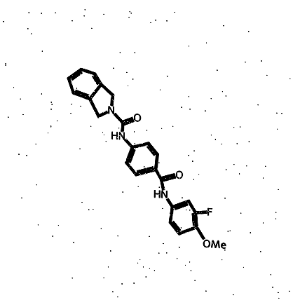 COc1ccc(NC(=O)c2ccc(NC(=O)N3Cc4ccccc4C3)cc2)cc1F